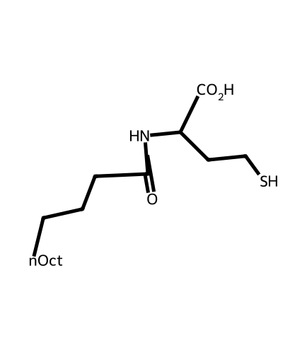 CCCCCCCCCCCC(=O)NC(CCS)C(=O)O